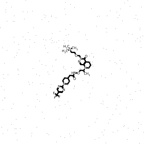 CC(CONC(=O)CC1CCN(c2ncc(C(F)(F)F)cn2)CC1)N1CCCc2c1cnn(COCC[Si](C)(C)C)c2=O